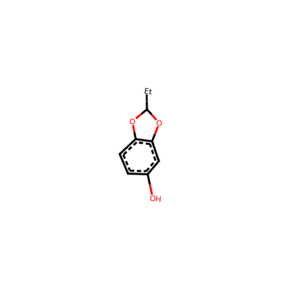 CCC1Oc2ccc(O)cc2O1